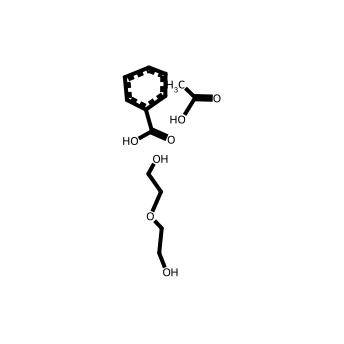 CC(=O)O.O=C(O)c1ccccc1.OCCOCCO